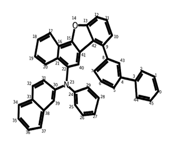 c1ccc(-c2cccc(-c3cccc4oc5c6ccccc6c(N(c6ccccc6)c6ccc7ccccc7c6)cc5c34)c2)cc1